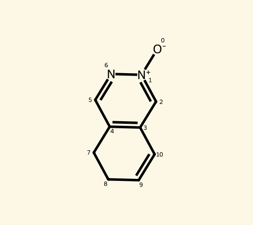 [O-][n+]1cc2c(cn1)CCC=C2